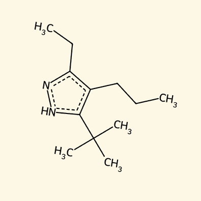 CCCc1c(CC)n[nH]c1C(C)(C)C